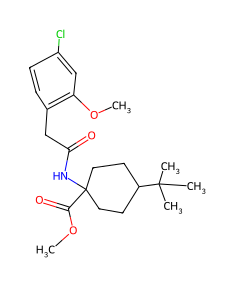 COC(=O)C1(NC(=O)Cc2ccc(Cl)cc2OC)CCC(C(C)(C)C)CC1